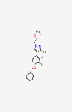 COCCn1cc(-c2ccc(OCc3ccccc3)c(F)c2F)c(Cl)n1